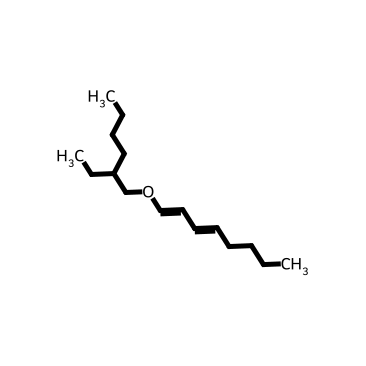 CCCCC=CC=COCC(CC)CCCC